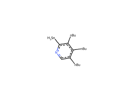 CCCCc1cn[c]([SnH3])c(CCCC)c1CCCC